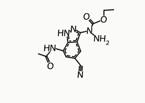 CCOC(=O)N(N)c1n[nH]c2c(NC(C)=O)cc(C#N)cc12